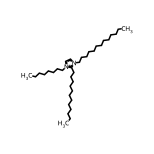 CCCCCCCCCCCCCn1cc[n+](CCCCCCCC)c1CCCCCCCCCCCC